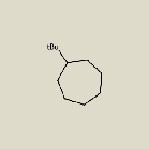 CC(C)(C)C1CCCCCC1